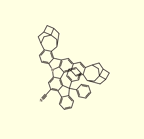 N#Cc1cc2c(c3c1-c1ccccc1C3(c1ccccc1)c1ccccc1)c1c3cc4c(cc3cc3c5c6c(ccc5n2c31)C1CC2CC3CC6CC23C1)C1CC2CC3CC4CC23C1